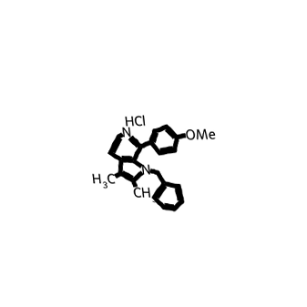 COc1ccc(-c2nccc3c(C)c(C)n(Cc4ccccc4)c23)cc1.Cl